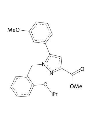 COC(=O)c1cc(-c2cccc(OC)c2)n(Cc2ccccc2OC(C)C)n1